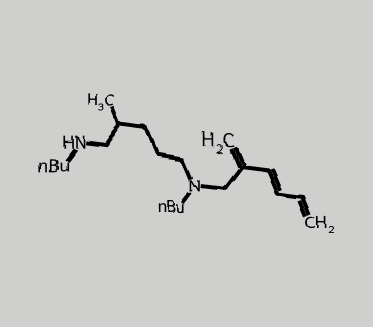 C=C/C=C/C(=C)CN(CCCC)CCCC(C)CNCCCC